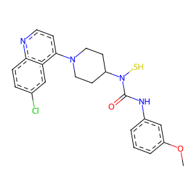 COc1cccc(NC(=O)N(S)C2CCN(c3ccnc4ccc(Cl)cc34)CC2)c1